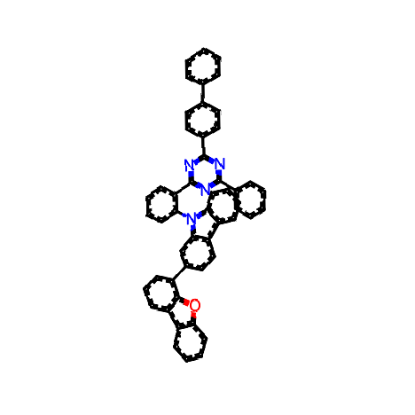 c1ccc(-c2ccc(-c3nc(-c4ccccc4)nc(-c4ccccc4-n4c5ccccc5c5ccc(-c6cccc7c6oc6ccccc67)cc54)n3)cc2)cc1